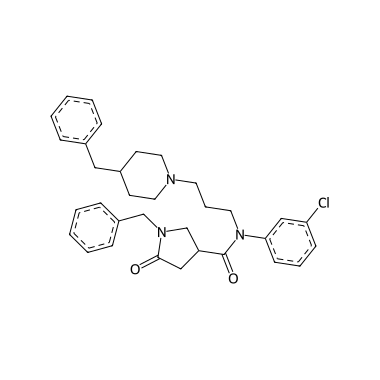 O=C1CC(C(=O)N(CCCN2CCC(Cc3ccccc3)CC2)c2cccc(Cl)c2)CN1Cc1ccccc1